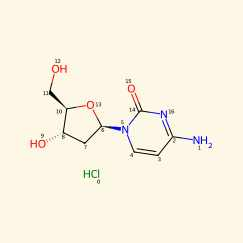 Cl.Nc1ccn([C@H]2C[C@H](O)[C@@H](CO)O2)c(=O)n1